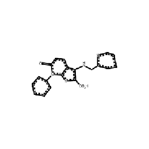 O=C(O)c1sc2c(ccc(=O)n2-c2ccccc2)c1NCc1ccccn1